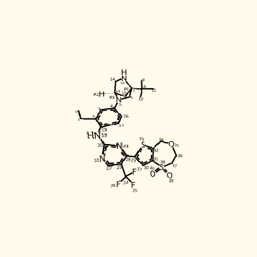 CCc1cc(N2C[C@]3(C(C)(C)C)C[C@@H]2CN3)ccc1Nc1ncc(C(F)(F)F)c(-c2cc3c(s2)COCCS3(=O)=O)n1